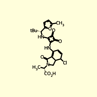 Cc1ccc([C@H](Nc2c(NC3=C4C(=O)N([C@@H](C)C(=O)O)CC4C(Cl)C=C3)c(=O)c2=O)C(C)(C)C)o1